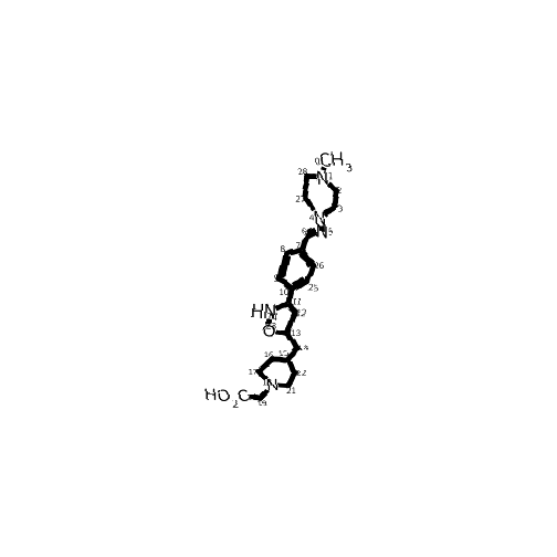 CN1CCN(N=Cc2ccc(C3CC(CC4CCN(CC(=O)O)CC4)ON3)cc2)CC1